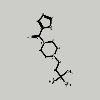 CC(C)(C)CCN1CCN(C(=O)c2ccco2)CC1